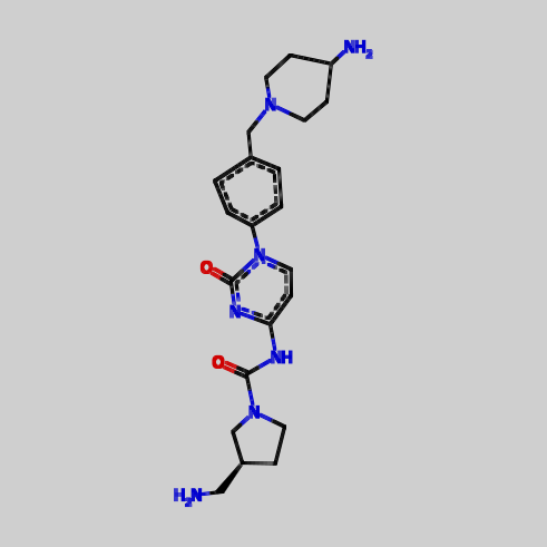 NC[C@@H]1CCN(C(=O)Nc2ccn(-c3ccc(CN4CCC(N)CC4)cc3)c(=O)n2)C1